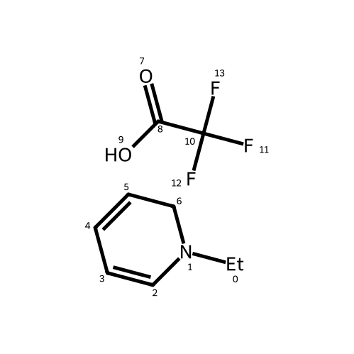 CCN1C=CC=CC1.O=C(O)C(F)(F)F